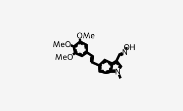 COc1cc(C=Cc2ccc3c(c2)c(/C=N/O)cn3C)cc(OC)c1OC